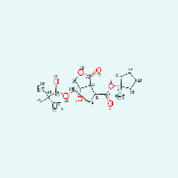 CCC1(OC(=O)C2C3OC4C(OC(=O)C42)C3OC(=O)C(C)(CC)C(F)(F)F)CCCC1